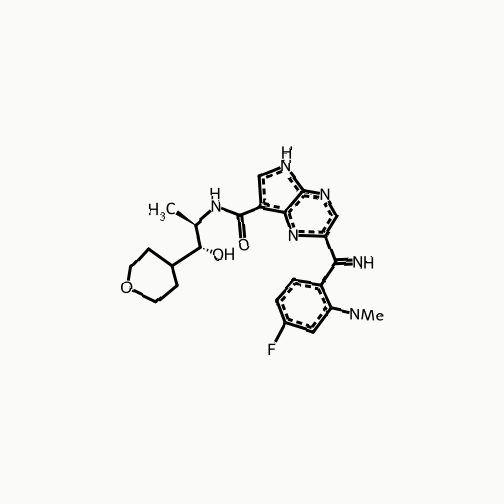 CNc1cc(F)ccc1C(=N)c1cnc2[nH]cc(C(=O)N[C@H](C)[C@H](O)C3CCOCC3)c2n1